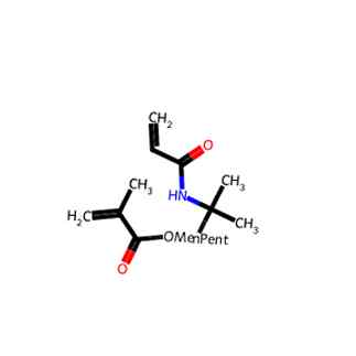 C=C(C)C(=O)OC.C=CC(=O)NC(C)(C)CCCCC